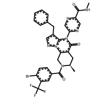 CNC(=O)c1cnc(-n2c(=O)c3c(n4ncc(Cc5ccccc5)c24)CN(C(=O)c2ccc(Br)c(C(F)(F)F)c2)[C@H](C)C3)cn1